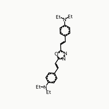 CCN(CC)c1ccc(/C=C/c2nnc(/C=C/c3ccc(N(CC)CC)cc3)o2)cc1